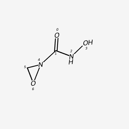 O=C(NO)N1CO1